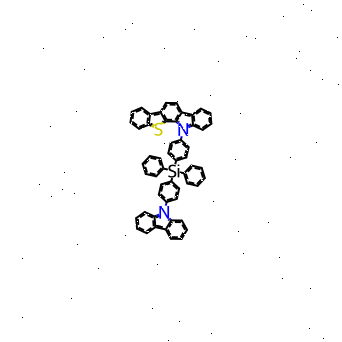 c1ccc([Si](c2ccccc2)(c2ccc(-n3c4ccccc4c4ccccc43)cc2)c2ccc(-n3c4ccccc4c4ccc5c6ccccc6sc5c43)cc2)cc1